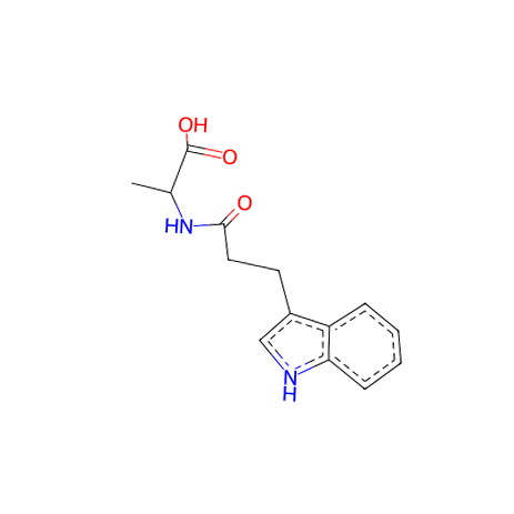 CC(NC(=O)CCc1c[nH]c2ccccc12)C(=O)O